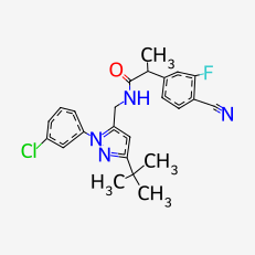 CC(C(=O)NCc1cc(C(C)(C)C)nn1-c1cccc(Cl)c1)c1ccc(C#N)c(F)c1